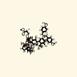 COC(=O)[C@H](C)COc1nc2c3c(nc(-c4cc(N(Cc5ccc(OC)cc5)Cc5ccc(OC)cc5)c(F)c(C)c4C(F)(F)F)c(F)c3n1)O[C@@H](C(F)(F)F)[C@@H]1[C@@H]3CC[C@H](CN21)N3C(=O)OC(C)(C)C